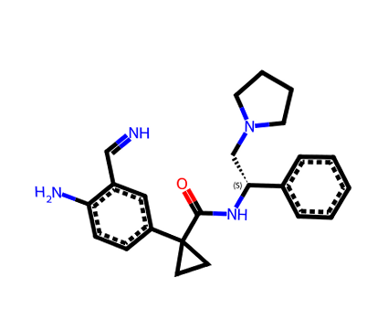 N=Cc1cc(C2(C(=O)N[C@H](CN3CCCC3)c3ccccc3)CC2)ccc1N